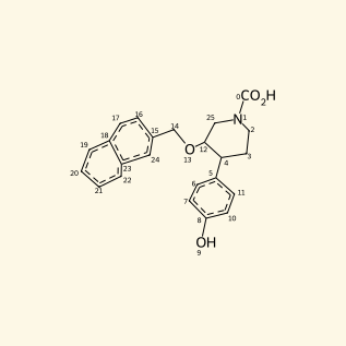 O=C(O)N1CCC(c2ccc(O)cc2)C(OCc2ccc3ccccc3c2)C1